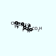 O=C(O)c1ccc2nc(Cc3cc(F)c(-c4cccc(OCc5ccc(Cl)nc5OC(F)F)n4)cc3F)n(CC3CCO3)c2c1